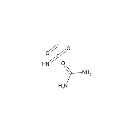 C=O.N=C=O.NC(N)=O